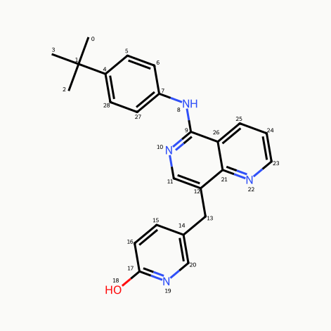 CC(C)(C)c1ccc(Nc2ncc(Cc3ccc(O)nc3)c3ncccc23)cc1